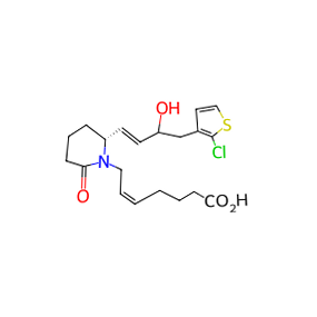 O=C(O)CCC/C=C\CN1C(=O)CCC[C@@H]1/C=C/C(O)Cc1ccsc1Cl